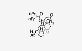 CCCC(CCC)C(=O)OC1CC(=O)C=C2CC[C@H]3[C@@H]4CC[C@H](C(C)=O)[C@@]4(C)CC[C@@H]3[C@]21C